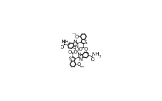 CCOC(=O)c1sc2cccc(OCC)c2c1-c1nc2cc(C(N)=O)ccc2n1CCn1c(-c2c(C(=O)OCC)sc3cccc(OCC)c23)nc2cc(C(N)=O)ccc21